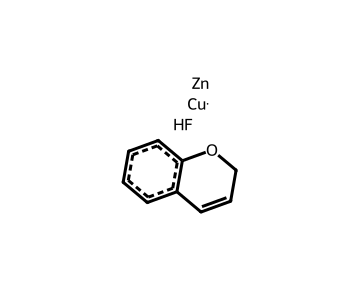 C1=Cc2ccccc2OC1.F.[Cu].[Zn]